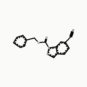 N#Cc1ccc2cnn(C(=O)OCc3ccccc3)c2c1